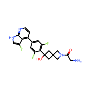 NCC(=O)N1CC2(C1)CC(O)(c1c(F)cc(-c3ccnc4[nH]cc(F)c34)cc1F)C2